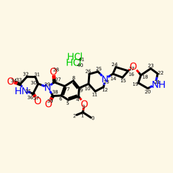 CC(C)Oc1cc2c(cc1C1CCN(C3CC(OC4CCNCC4)C3)CC1)C(=O)N(C1CCC(=O)NC1=O)C2=O.Cl.Cl